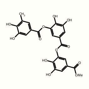 COC(=O)c1cc(O)c(O)c(OC(=O)c2cc(O)c(O)c(OC(=O)c3cc(C)c(O)c(O)c3)c2)c1